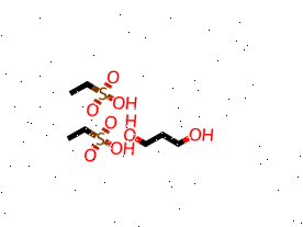 CCS(=O)(=O)O.CCS(=O)(=O)O.OCCCO